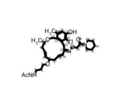 CC(=O)NCCCOC1/C=C/C[C@@H](C)OCc2c(C)cc(O)c(Cl)c2CC(=N\OCC(=O)N2CCCCC2)/C=C/C1